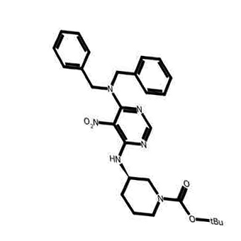 CC(C)(C)OC(=O)N1CCC[C@@H](Nc2ncnc(N(Cc3ccccc3)Cc3ccccc3)c2[N+](=O)[O-])C1